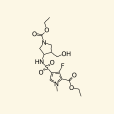 CCOC(=O)c1c(F)c(S(=O)(=O)NC2CN(C(=O)OCC)CC2CO)cn1C